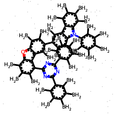 Bc1c(B)c(B)c(-c2nc(-c3c(B)c(B)c(B)c(B)c3B)nc(-c3c(B)c(B)c(B)c4oc5c(B)c(B)c(-c6c(B)c(B)c7c(c6B)c6c(B)c(B)c(B)c(B)c6n7-c6c(B)c(B)c(B)c(B)c6B)c(B)c5c34)n2)c(B)c1B